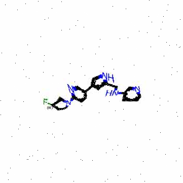 F[C@@H]1CCN(c2ccc(-c3c[nH]c(CNc4cccnc4)c3)cn2)C1